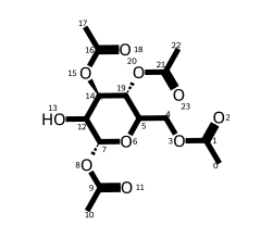 CC(=O)OCC1O[C@H](OC(C)=O)C(O)[C@@H](OC(C)=O)[C@@H]1OC(C)=O